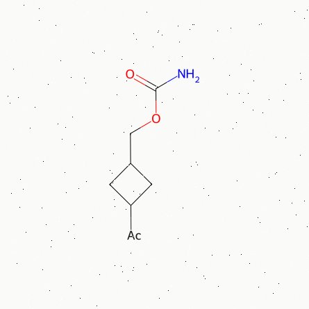 CC(=O)C1CC(COC(N)=O)C1